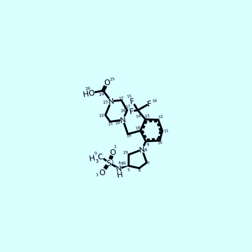 CS(=O)(=O)N[C@@H]1CCN(c2cccc(C(F)(F)F)c2CN2CCN(C(=O)O)CC2)C1